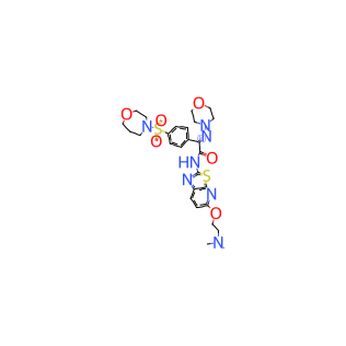 CN(C)CCOc1ccc2nc(NC(=O)/C(=N/N3CCOCC3)c3ccc(S(=O)(=O)N4CCCOCC4)cc3)sc2n1